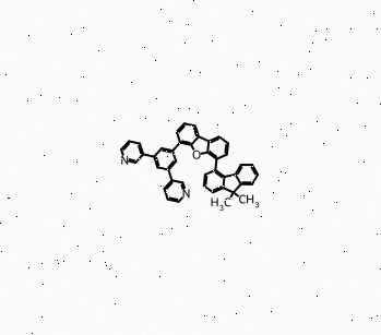 CC1(C)c2ccccc2-c2c(-c3cccc4c3oc3c(-c5cc(-c6cccnc6)cc(-c6cccnc6)c5)cccc34)cccc21